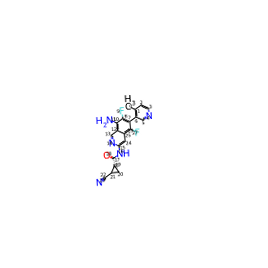 Cc1ccncc1-c1c(F)c(N)c2cnc(NC(=O)[C@@H]3CC3C#N)cc2c1F